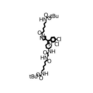 CC(C)(C)OC(=O)NCCCCCC(=O)NCC(=O)NC1CCc2c(-c3cnn(C(=O)CCCCCNC(=O)OC(C)(C)C)c3)c3ccc(Cl)c(Cl)c3n2C1